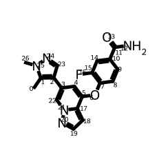 Cc1c(-c2cc(Oc3ccc(C(N)=O)cc3F)c3ccnn3c2)cnn1C